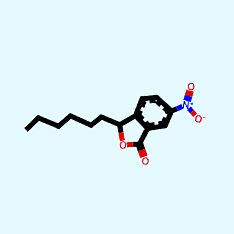 CCCCCCC1OC(=O)c2cc([N+](=O)[O-])ccc21